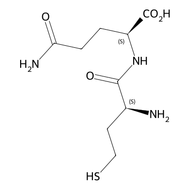 NC(=O)CC[C@H](NC(=O)[C@@H](N)CCS)C(=O)O